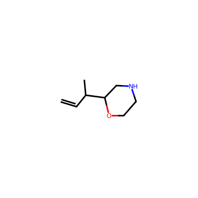 C=CC(C)C1CNCCO1